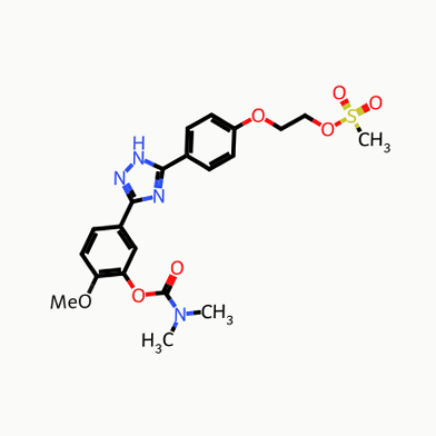 COc1ccc(-c2n[nH]c(-c3ccc(OCCOS(C)(=O)=O)cc3)n2)cc1OC(=O)N(C)C